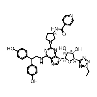 CCn1nnc([C@H]2O[C@@H](n3cnc4c(NCC(c5ccc(O)cc5)c5ccc(O)cc5)nc(N5CC[C@@H](NC(=O)c6ccncc6)C5)nc43)[C@H](O)[C@@H]2O)n1